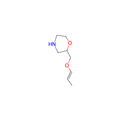 CC=COCC1CNCCO1